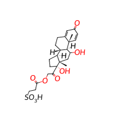 C[C@]12C=CC(=O)C=C1CC[C@@H]1[C@@H]2C(O)C[C@@]2(C)[C@H]1CC[C@]2(O)C(=O)COC(=O)CCS(=O)(=O)O